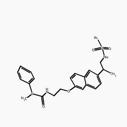 CC(CNS(=O)(=O)C(C)C)c1ccc2cc(OCCNC(=O)N(C)c3ccccc3)ccc2c1